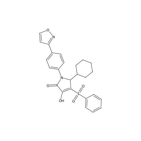 O=C1C(O)=C(S(=O)(=O)c2ccccc2)C(C2CCCCC2)N1c1ccc(-c2ccon2)cc1